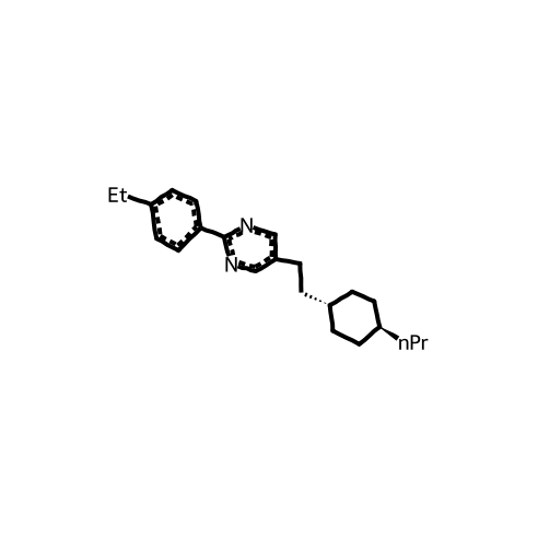 CCC[C@H]1CC[C@H](CCc2cnc(-c3ccc(CC)cc3)nc2)CC1